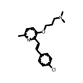 Cc1ccc(OCCCN(C)C)c(C=Cc2ccc(Cl)cc2)n1